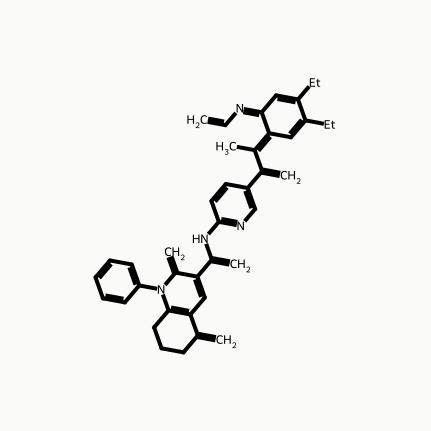 C=C/N=C1/C=C(CC)C(CC)=C/C1=C(/C)C(=C)c1ccc(NC(=C)C2=CC3=C(CCCC3=C)N(c3ccccc3)C2=C)nc1